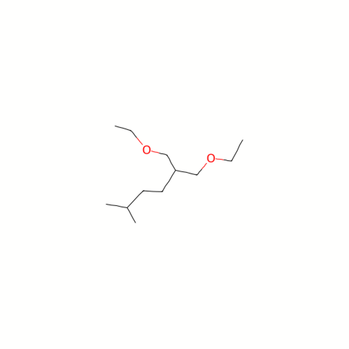 CCOCC(CCC(C)C)COCC